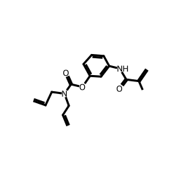 C=CCN(CC=C)C(=O)Oc1cccc(NC(=O)C(=C)C)c1